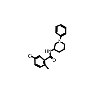 Cc1ccc(Cl)cc1C(=O)NC1CCCN(c2ccccc2)C1